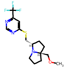 COC[C@@]12CCCN1[C@H](CSc1cc(C(F)(F)F)ncn1)CC2